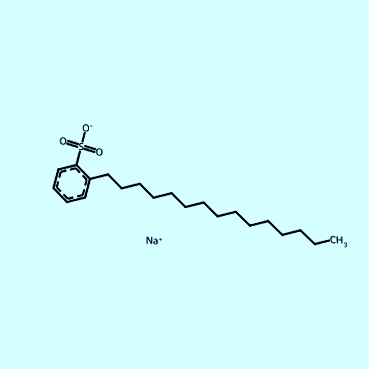 CCCCCCCCCCCCCCCc1ccccc1S(=O)(=O)[O-].[Na+]